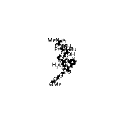 CC[C@H](C)[C@@H]([C@H](O)CC(=O)N1CCC[C@H]1[C@H](O)[C@@H](C)C(=O)N[C@@H](Cc1ccccc1)C(=O)OCCOCCOCCOC)N(C)C(=O)[C@@H](NC(=O)[C@@H](NC)C(C)C)C(C)C